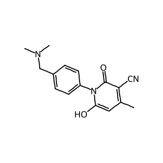 Cc1cc(O)n(-c2ccc(CN(C)C)cc2)c(=O)c1C#N